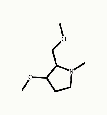 COCC1C(OC)CCN1C